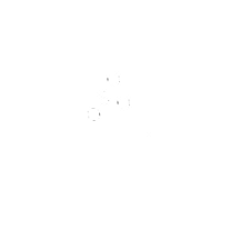 C=C[C@@H]1CCC[C@H](OS(C)(=O)=O)[C@@H]1C